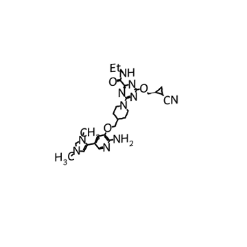 CCNC(=O)c1nc(OC[C@H]2C[C@H]2C#N)nc(N2CCC(COc3cc(C4=CN(C)CN4C)cnc3N)CC2)n1